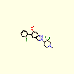 COc1cc2nn(C3CCN(C)CC3(F)F)cc2cc1-c1ccccc1F